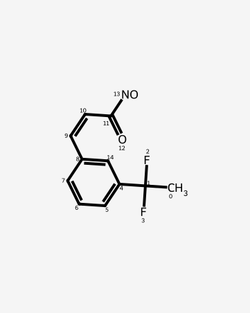 CC(F)(F)c1cccc(/C=C\C(=O)N=O)c1